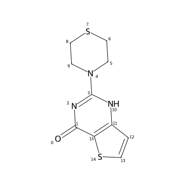 O=c1nc(N2CCSCC2)[nH]c2ccsc12